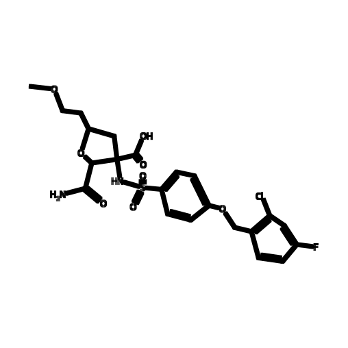 COCCC1CC(NS(=O)(=O)c2ccc(OCc3ccc(F)cc3Cl)cc2)(C(=O)O)C(C(N)=O)O1